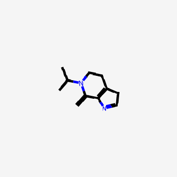 C=C1C2=C(CC=N2)CCN1C(C)C